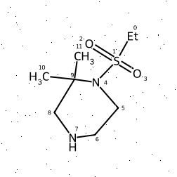 CCS(=O)(=O)N1CCNCC1(C)C